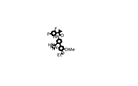 CCOc1ccc(-c2ccc(NC(=O)C3(c4ccc(F)cc4F)CC3)cc2-c2nnn[nH]2)cc1OC